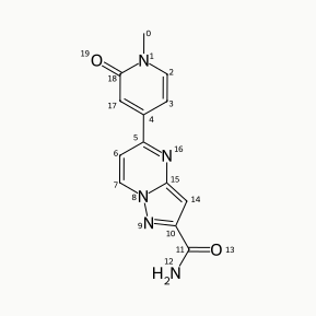 Cn1ccc(-c2ccn3nc(C(N)=O)cc3n2)cc1=O